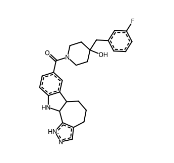 O=C(c1ccc2c(c1)C1CCCc3cn[nH]c3C1N2)N1CCC(O)(Cc2cccc(F)c2)CC1